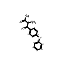 NC(C(=O)O)C(=O)c1ccc(Oc2ccccc2)cc1